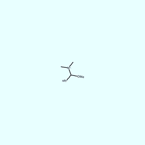 CCCC(OC)[N+](C)C